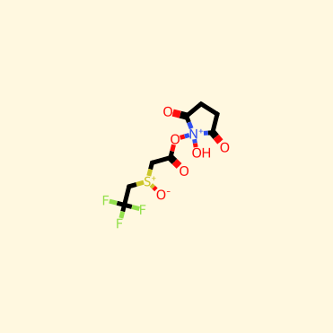 O=C(C[S+]([O-])CC(F)(F)F)O[N+]1(O)C(=O)CCC1=O